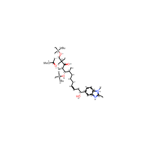 COC(=O)C[C@H](O[Si](C)(C)C(C)(C)C)C(C)(C)C(=O)[C@H](C)[C@@H](O[Si](C)(C)C(C)(C)C)[C@@H](C)CCC/C=C\C[C@@H](O)c1ccc2c(c1)nc(C)n2C